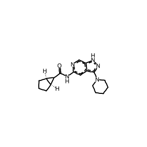 O=C(Nc1cc2c(N3CCCCC3)n[nH]c2cn1)C1[C@H]2CCC[C@@H]12